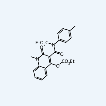 CCOC(=O)Oc1c(C(=O)N(C(=O)OCC)c2ccc(C)cc2)c(=O)n(C)c2ccccc12